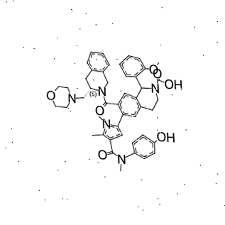 COc1ccccc1C1c2cc(C(=O)N3Cc4ccccc4C[C@H]3CN3CCOCC3)c(-c3cc(C(=O)N(C)c4ccc(O)cc4)c(C)n3C)cc2CCN1C(=O)O